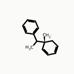 [CH2][C@]1(C(C)c2ccccc2)C=CC=CC1